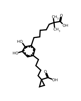 CC(C)(CCCCCc1cc(CCCCC2(C(=O)O)CC2)cc(O)c1O)C(=O)O